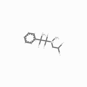 FC(F)CN([SiH3])C(F)(F)C(F)([SiH3])c1ccccc1